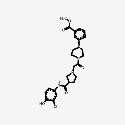 COC(=O)c1cccc(N2CCN(C(=O)CN3CCC(C(=O)Nc4ccc(O)c(Cl)c4)C3)CC2)c1